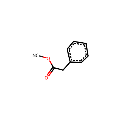 N#COC(=O)Cc1ccccc1